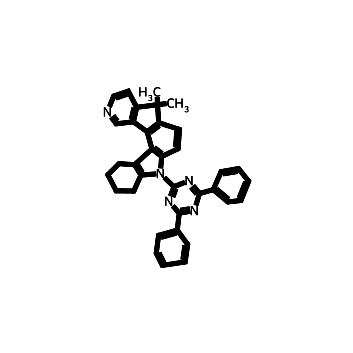 CC1(C)c2ccncc2-c2c1ccc1c2c2c(n1-c1nc(-c3ccccc3)nc(-c3ccccc3)n1)CCCC2